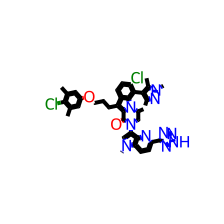 Cc1cc(OCCCc2c3n(c4c(-c5c(C)nn(C)c5C)c(Cl)ccc24)C(C)CN(c2cn(C)c4ccc(-c5nn[nH]n5)nc24)C3=O)cc(C)c1Cl